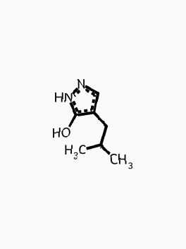 C[C](C)Cc1cn[nH]c1O